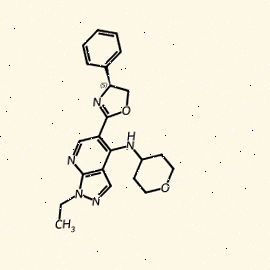 CCn1ncc2c(NC3CCOCC3)c(C3=N[C@@H](c4ccccc4)CO3)cnc21